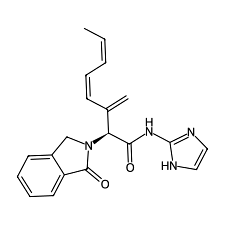 C=C(/C=C\C=C/C)[C@@H](C(=O)Nc1ncc[nH]1)N1Cc2ccccc2C1=O